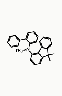 CC1(C)c2ccccc2-c2c(N(c3ccccc3-c3ccccc3)C(C)(C)C)cccc21